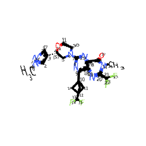 Cn1cc([C@H]2CN(c3nc(C45CC(C(F)F)(C4)C5)c4nc(C(F)F)n(C)c(=O)c4n3)CCO2)cn1